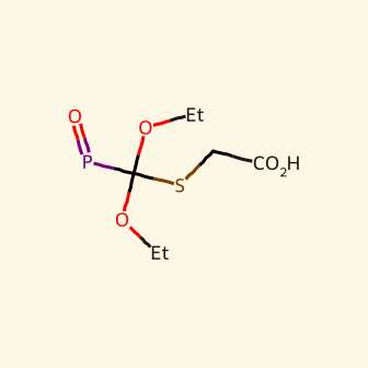 CCOC(OCC)(P=O)SCC(=O)O